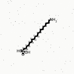 NCCCCCCCCCCCCCCCCCCCP(=O)(O)O